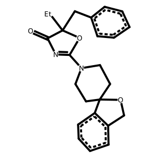 CCC1(Cc2ccccc2)OC(N2CCC3(CC2)OCc2ccccc23)=NC1=O